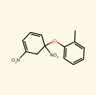 Cc1ccccc1OC1([N+](=O)[O-])C=CC=C([N+](=O)[O-])C1